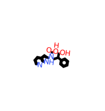 O=C(O)N(CC(CO)c1ccccc1)c1cc2cccnc2[nH]1